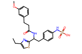 CCc1csc(C(Cc2ccc(NS(=O)(=O)O)cc2)NC(=O)CCc2cccc(OC)c2)n1